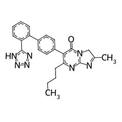 CCCCc1nc2n(c(=O)c1-c1ccc(-c3ccccc3-c3nnn[nH]3)cc1)CC(C)=N2